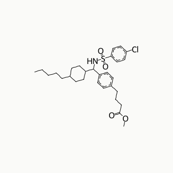 CCCCCC1CCC(C(NS(=O)(=O)c2ccc(Cl)cc2)c2ccc(CCCC(=O)OC)cc2)CC1